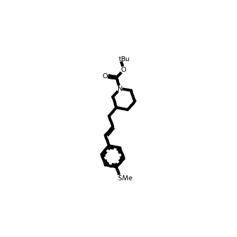 CSc1ccc(/C=C/CC2CCCN(C(=O)OC(C)(C)C)C2)cc1